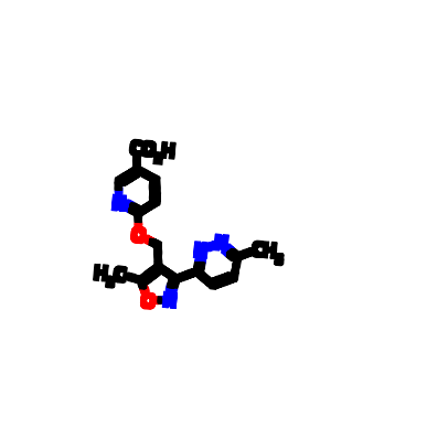 Cc1ccc(-c2noc(C)c2COc2ccc(C(=O)O)cn2)nn1